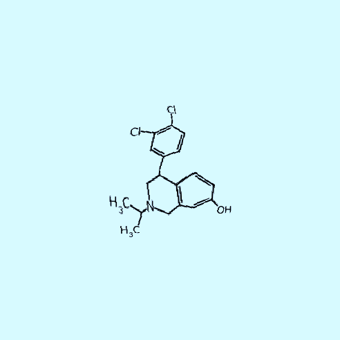 CC(C)N1Cc2cc(O)ccc2C(c2ccc(Cl)c(Cl)c2)C1